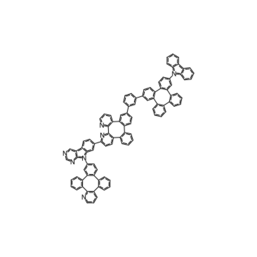 c1cc(-c2ccc3c(c2)-c2ccccc2-c2ccccc2-c2cc(-n4c5ccccc5c5ccccc54)ccc2-3)cc(-c2ccc3c(c2)-c2cccnc2-c2nc(-c4ccc5c6cncnc6n(-c6ccc7c(c6)-c6ccccc6-c6ncccc6-c6ccccc6-7)c5c4)ccc2-c2ccccc2-3)c1